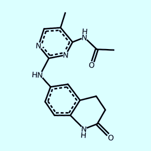 CC(=O)Nc1nc(Nc2ccc3c(c2)CCC(=O)N3)ncc1C